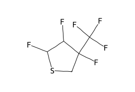 FC1SCC(F)(C(F)(F)F)C1F